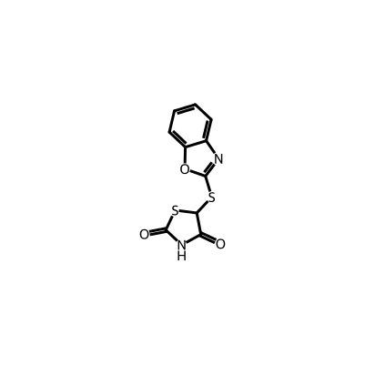 O=C1NC(=O)C(Sc2nc3ccccc3o2)S1